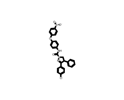 O=C(Nc1ccc(Oc2ccc([N+](=O)[O-])cc2)cc1)N1CC(c2ccccc2)C(c2ccc(Cl)cc2)=N1